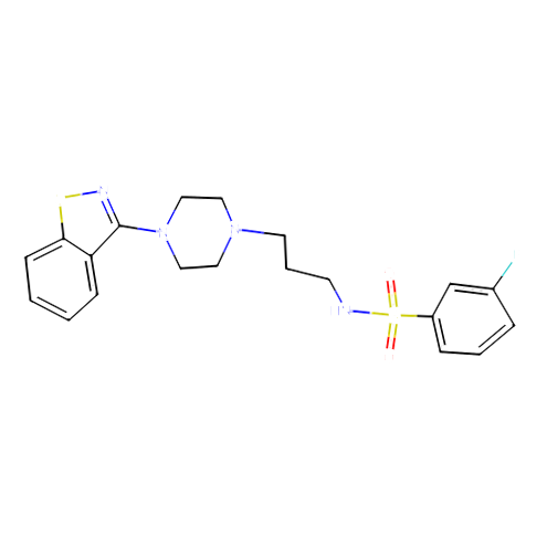 O=S(=O)(NCCCN1CCN(c2nsc3ccccc23)CC1)c1cccc(F)c1